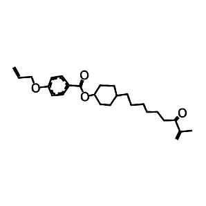 C=CCOc1ccc(C(=O)OC2CCC(CCCCCCC(=O)C(=C)C)CC2)cc1